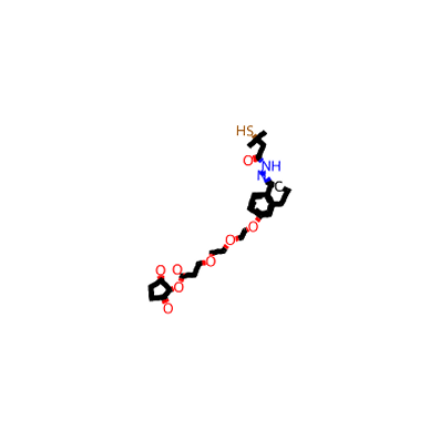 CC(C)(S)CC(=O)N/N=C1\CCCc2cc(OCCOCCOCCC(=O)OC3C(=O)CCC3=O)ccc21